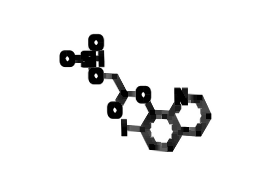 O=C(CO[SH](=O)=O)Oc1c(I)ccc2cccnc12